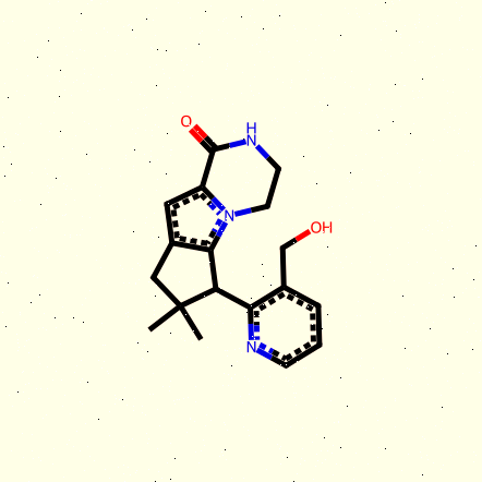 CC1(C)Cc2cc3n(c2C1c1ncccc1CO)CCNC3=O